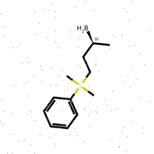 B[C@@H](C)CCS(C)(C)c1ccccc1